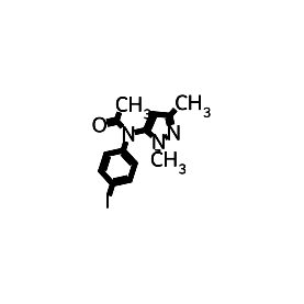 CC(=O)N(c1ccc(I)cc1)c1cc(C)nn1C